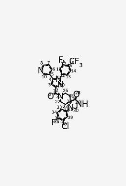 O=C(c1cc(-c2cccnc2)n(-c2ccc(C(F)(F)F)c(F)c2)n1)N1CCC2(CC1)C(=O)NCN2c1ccc(F)c(Cl)c1